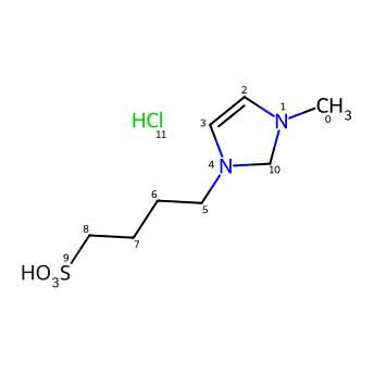 CN1C=CN(CCCCS(=O)(=O)O)C1.Cl